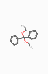 FC(F)(F)COC(OCC(F)(F)F)(c1ccccc1)c1ccccc1